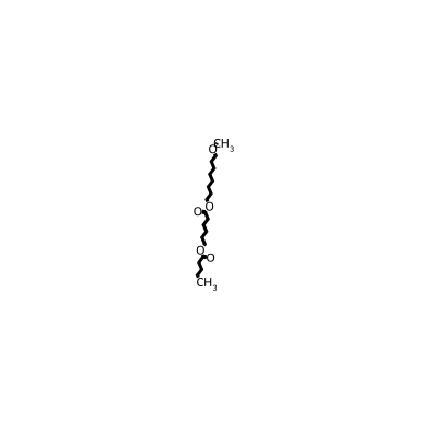 CCCCC(=O)OCCCCCC(=O)OCCCCCCCCOC